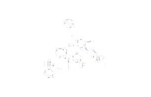 C=c1cc(OCc2ccccc2)c(OC)c/c1=C(/C=C\N)Oc1ccc(Nc2ncccc2C(=O)Nc2ccccc2OC)cc1F